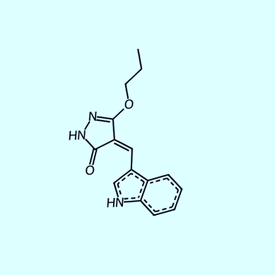 CCCOC1=NNC(=O)C1=Cc1c[nH]c2ccccc12